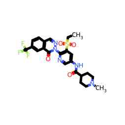 CCS(=O)(=O)c1cc(NC(=O)C2CCN(C)CC2)cnc1-n1ncc2ccc(C(F)(F)F)cc2c1=O